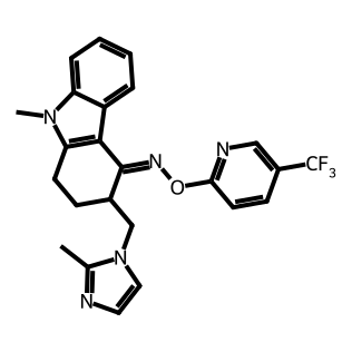 Cc1nccn1CC1CCc2c(c3ccccc3n2C)C1=NOc1ccc(C(F)(F)F)cn1